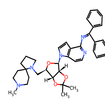 CN1CCC2(CCCN2C[C@H]2O[C@@H](n3ccc4c(N=C(c5ccccc5)c5ccccc5)nccc43)[C@@H]3OC(C)(C)O[C@@H]32)CC1